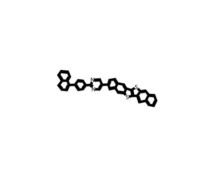 c1ccc2cc3c(cc2c1)sc1c2cc4ccc(-c5cnc(-c6ccc(-c7cccc8ccccc78)cc6)nc5)cc4cc2sc31